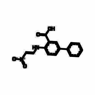 O=C(O)c1cc(-c2ccccc2)ccc1NC=C[N+](=O)[O-]